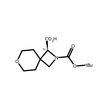 CC(C)(C)OC(=O)N1CC2(CCOCC2)[C@H]1C(=O)O